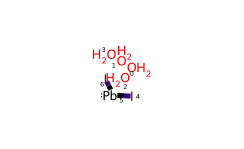 O.O.O.O.[I][Pb][I]